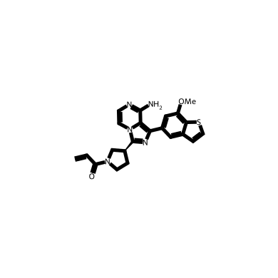 C=CC(=O)N1CC[C@H](c2nc(-c3cc(OC)c4sccc4c3)c3c(N)nccn23)C1